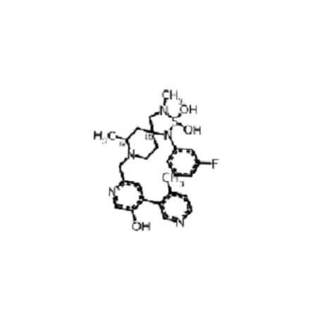 Cc1ccncc1-c1cc(CN2CC[C@@]3(C[C@@H]2C)CN(C)S(O)(O)N3c2cccc(F)c2)ncc1O